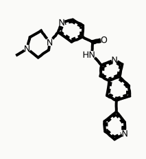 CN1CCN(c2cc(C(=O)Nc3cc4cc(-c5cccnc5)ccc4cn3)ccn2)CC1